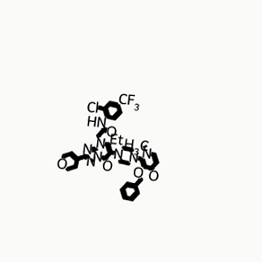 CCc1c(N2CCN(c3c(OCc4ccccc4)c(=O)ccn3C)CC2)c(=O)n2nc(C3=CCOCC3)nc2n1CC(=O)Nc1ccc(C(F)(F)F)cc1Cl